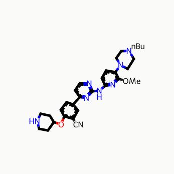 CCCCN1CCN(c2ccc(Nc3nccc(-c4ccc(OC5CCNCC5)c(C#N)c4)n3)nc2OC)CC1